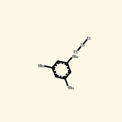 CC(C)(C)c1cc(C(C)(C)C)cc(C(C)(C)C)c1.C[CH2][Zn][CH2]C